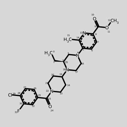 CC[C@H]1CN(c2ccc(C(=O)OC)nc2C)CCN1C1CCN(C(=O)c2ccc(Cl)c(F)c2)CC1